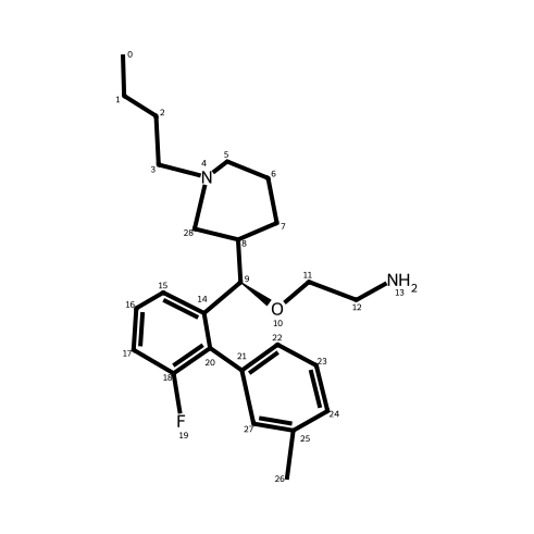 CCCCN1CCCC([C@@H](OCCN)c2cccc(F)c2-c2cccc(C)c2)C1